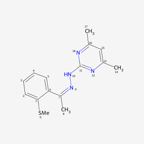 CSc1ccccc1/C(C)=N\Nc1nc(C)cc(C)n1